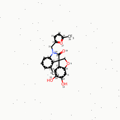 Cc1cccc2c1C1(COc3cc(O)c(O)cc31)C(=O)N2Cc1ccc(C(F)(F)F)o1